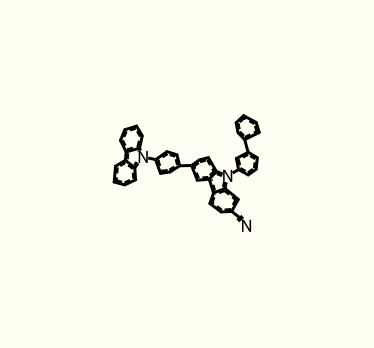 N#Cc1ccc2c3cc(-c4ccc(-n5c6ccccc6c6ccccc65)cc4)ccc3n(-c3cccc(-c4ccccc4)c3)c2c1